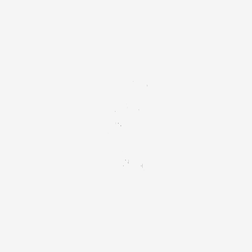 CC1CN(Cc2ccccc2)CCC1=NO